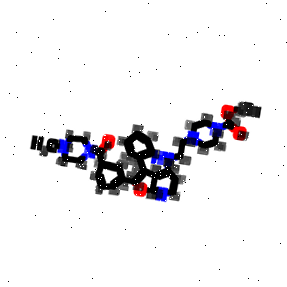 CN1CCN(C(=O)c2cccc(-c3oc4nccc(NCCN5CCN(C(=O)OC(C)(C)C)CC5)c4c3-c3ccccc3)c2)CC1